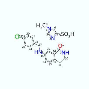 Cn1cnc(S(=O)(=O)O)c1.O=C1NCCc2ccc(NCc3ccc(Cl)cc3)cc21